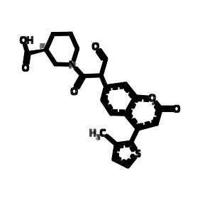 Cc1ccsc1-c1cc(=O)oc2cc(C(C=O)C(=O)N3CCC[C@H](C(=O)O)C3)ccc12